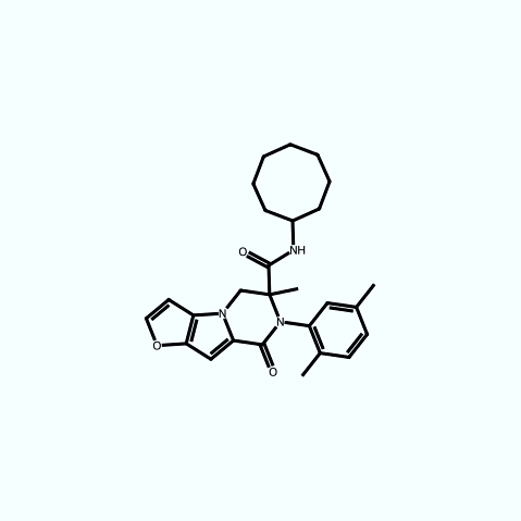 Cc1ccc(C)c(N2C(=O)c3cc4occc4n3CC2(C)C(=O)NC2CCCCCCC2)c1